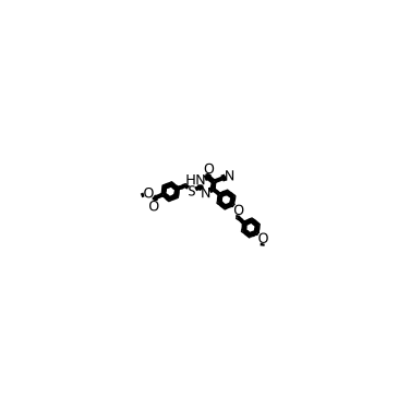 COC(=O)c1ccc(CSc2nc(-c3ccc(OCc4ccc(OC)cc4)cc3)c(C#N)c(=O)[nH]2)cc1